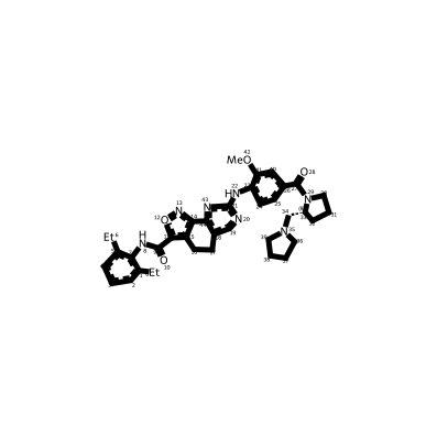 CCc1cccc(CC)c1NC(=O)c1onc2c1CCc1cnc(Nc3ccc(C(=O)N4CCC[C@@H]4CN4CCCC4)cc3OC)nc1-2